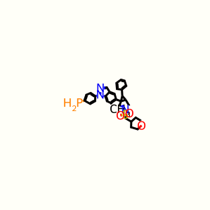 Cc1cc2c(cnn2-c2ccc(P)cc2)cc1C12CN(S(=O)(=O)CC3CCOCC3)CC1C2c1ccccc1